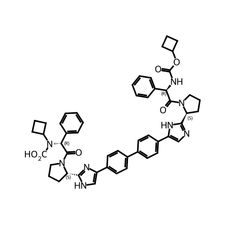 O=C(N[C@@H](C(=O)N1CCC[C@H]1c1ncc(-c2ccc(-c3ccc(-c4c[nH]c([C@@H]5CCCN5C(=O)[C@@H](c5ccccc5)N(C(=O)O)C5CCC5)n4)cc3)cc2)[nH]1)c1ccccc1)OC1CCC1